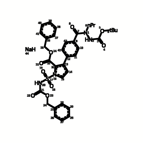 CCCN(NC(=O)OC(C)(C)C)C(=O)c1ccc(-c2ccn(S(=O)(=O)NC(=O)OCc3ccccc3)c2C(=O)OCc2ccccc2)cc1.[NaH]